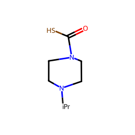 CC(C)N1CCN(C(=O)S)CC1